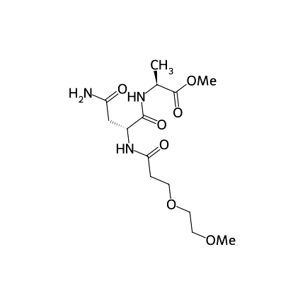 COCCOCCC(=O)N[C@H](CC(N)=O)C(=O)N[C@@H](C)C(=O)OC